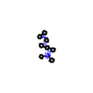 c1ccc(-c2nc(-c3ccccc3)nc(-n3c4ccccc4c4cc5c(cc43)c3ccccc3n5-c3cccc(-n4c5ccccc5c5ccccc54)c3)n2)cc1